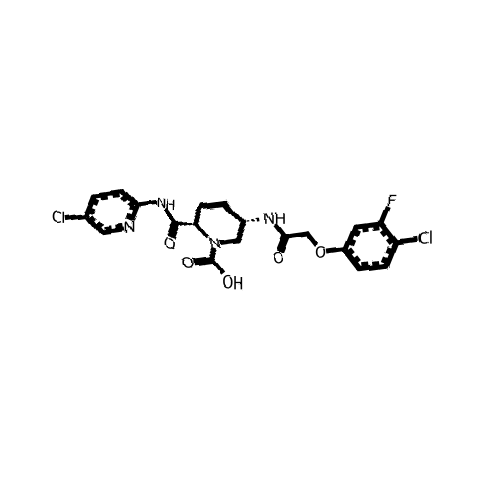 O=C(COc1ccc(Cl)c(F)c1)N[C@H]1CC[C@H](C(=O)Nc2ccc(Cl)cn2)N(C(=O)O)C1